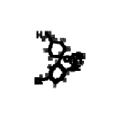 CCCCO[C@]1(c2cc(CC)ccc2CC)CC[C@@H](N)CC1.Cl